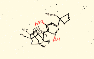 CCCCCC1(c2cc(O)c([C@H]3C=C(C)[C@H]4C[C@@H]3C4(C)C)c(O)c2)CCC1